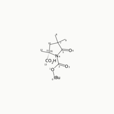 CC(C)(C)OC(=O)N1C(=O)C(C)(C)C[C@@]1(C)C(=O)O